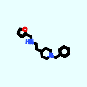 c1ccc(CN2CCC(CCNCc3ccco3)CC2)cc1